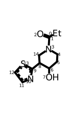 CCC(=O)N1CCC(O)C(c2nccs2)C1